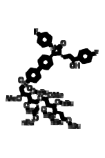 CCCCOCC[C@@H](OCCCC)C(OCCCC)[C@H](OCCCC)[C@@H](OC)O[C@H](CCOCCCC)C(OCCCC)[C@H](OCCCC)[C@H](CS(=O)(=O)c1ccc(-c2ccc([C@@H]3[C@@H](CC[C@H](O)c4ccc(F)cc4)C(=O)N3c3ccc(F)cc3)cc2)cc1)OC